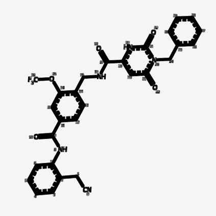 N#CCc1ccccc1NC(=O)c1ccc(CNC(=O)c2cc(=O)n(Cc3ccccc3)c(=O)[nH]2)c(OC(F)(F)F)c1